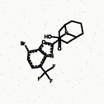 O=C(O)N1C2CCCC1CN(c1nc3c(C(F)(F)F)ccc(Br)c3o1)C2